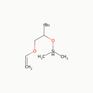 C=COCC(O[SiH](C)C)C(C)(C)C